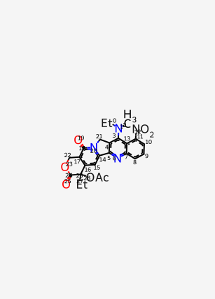 CCN(C)c1c2c(nc3cccc([N+](=O)[O-])c13)-c1cc3c(c(=O)n1C2)COC(=O)[C@@]3(CC)OC(C)=O